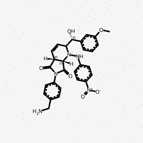 COc1cccc([C@@H](O)C2C=C[C@H]3C(=O)N(c4ccc(CN)cc4)C(=O)[C@H]3N2Nc2ccc([N+](=O)[O-])cc2)c1